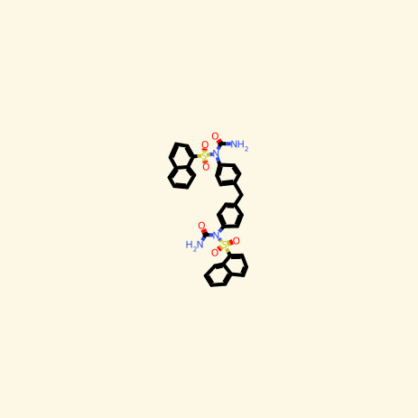 NC(=O)N(c1ccc(Cc2ccc(N(C(N)=O)S(=O)(=O)c3cccc4ccccc34)cc2)cc1)S(=O)(=O)c1cccc2ccccc12